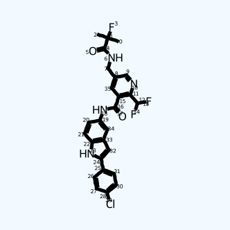 CC(C)(F)C(=O)NCc1cnc(C(F)F)c(C(=O)Nc2ccc3[nH]c(-c4ccc(Cl)cc4)cc3c2)c1